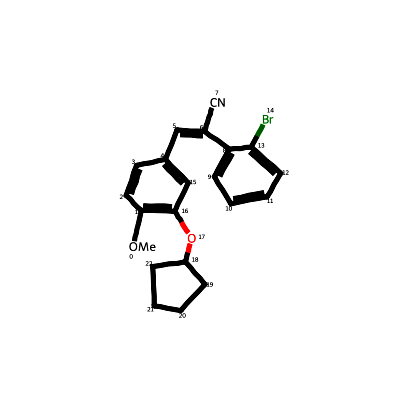 COc1ccc(C=C(C#N)c2ccccc2Br)cc1OC1CCCC1